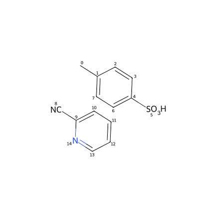 Cc1ccc(S(=O)(=O)O)cc1.N#Cc1ccccn1